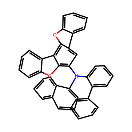 c1ccc(-c2ccccc2N(c2cccc3ccccc23)c2cc3c4ccccc4oc3c3c2oc2ccccc23)cc1